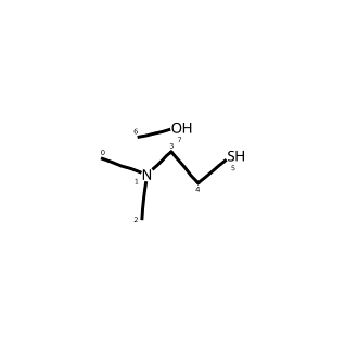 CN(C)CCS.CO